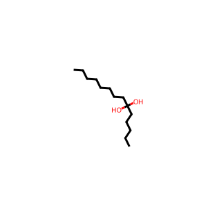 CCCCCCCCC(O)(O)CCCCC